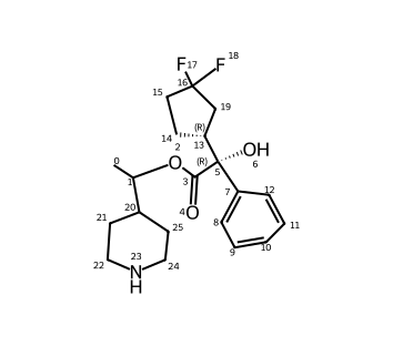 CC(OC(=O)[C@](O)(c1ccccc1)[C@@H]1CCC(F)(F)C1)C1CCNCC1